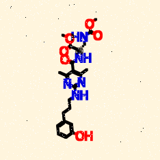 COC(=O)NC[C@H](NC(=O)c1c(C)nc(NCCCc2cccc(O)c2)nc1C)C(=O)OC